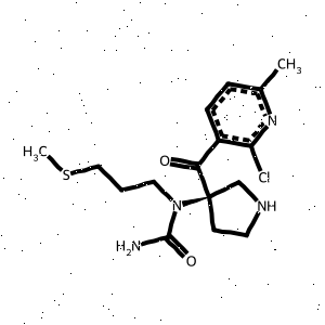 CSCCCN(C(N)=O)[C@]1(C(=O)c2ccc(C)nc2Cl)CCNC1